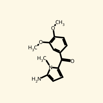 COc1ccc(C(=O)c2ccc(N)n2C)cc1OC